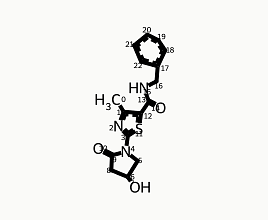 Cc1nc(N2CC(O)CC2=O)sc1C(=O)NCc1ccccc1